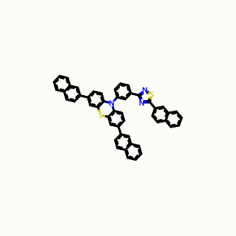 c1cc(-c2nsc(-c3ccc4ccccc4c3)n2)cc(N2c3ccc(-c4ccc5ccccc5c4)cc3Sc3cc(-c4ccc5ccccc5c4)ccc32)c1